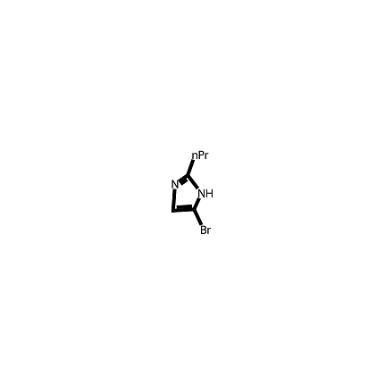 CCCc1ncc(Br)[nH]1